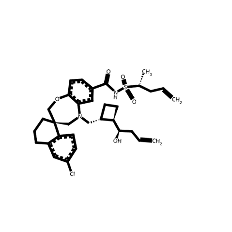 C=CC[C@@H](O)[C@@H]1CC[C@H]1CN1C[C@@]2(CCCc3cc(Cl)ccc32)COc2ccc(C(=O)NS(=O)(=O)[C@H](C)CC=C)cc21